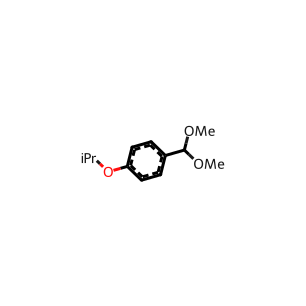 COC(OC)c1ccc(OC(C)C)cc1